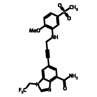 COc1ccc(S(C)(=O)=O)cc1NCC#Cc1cc(C(N)=O)c2ncn(CC(F)(F)F)c2c1